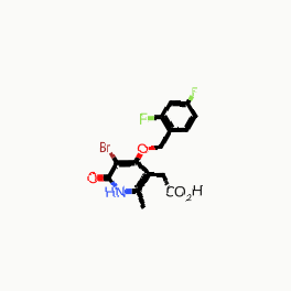 Cc1[nH]c(=O)c(Br)c(OCc2ccc(F)cc2F)c1CC(=O)O